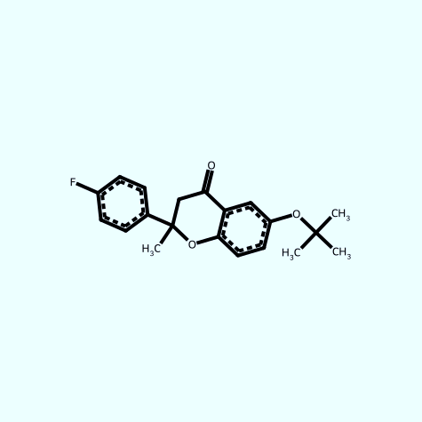 CC(C)(C)Oc1ccc2c(c1)C(=O)CC(C)(c1ccc(F)cc1)O2